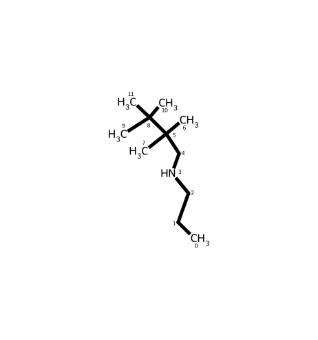 CCCNCC(C)(C)C(C)(C)C